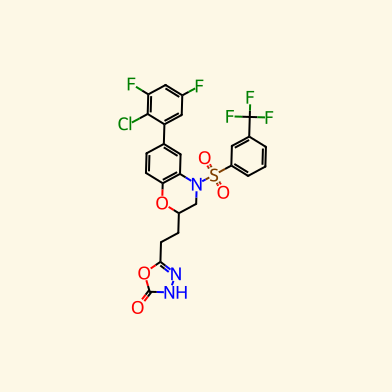 O=c1[nH]nc(CCC2CN(S(=O)(=O)c3cccc(C(F)(F)F)c3)c3cc(-c4cc(F)cc(F)c4Cl)ccc3O2)o1